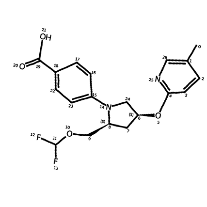 Cc1ccc(O[C@H]2C[C@@H](COC(F)F)N(c3ccc(C(=O)O)cc3)C2)nc1